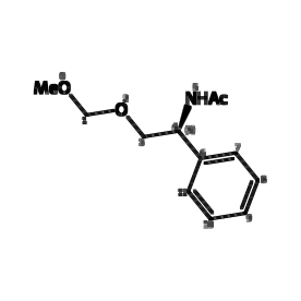 COCOC[C@@H](NC(C)=O)c1ccccc1